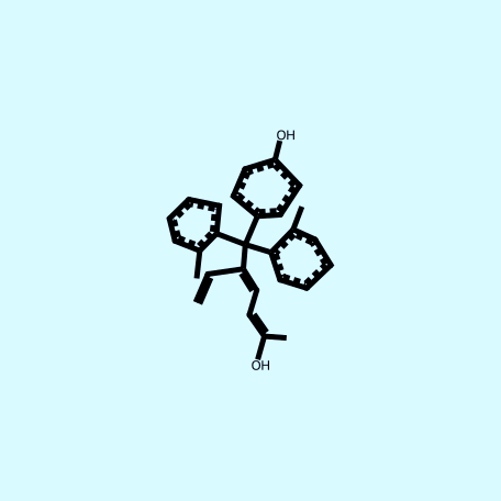 C=C/C(=C\C=C(/C)O)C(c1ccc(O)cc1)(c1ccccc1C)c1ccccc1C